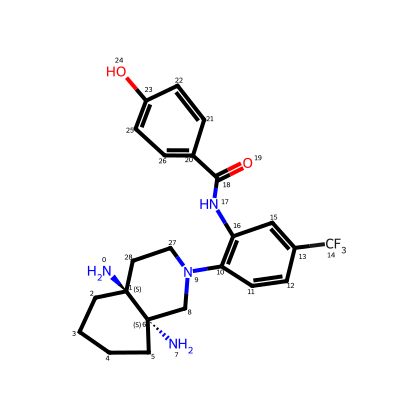 N[C@]12CCCC[C@]1(N)CN(c1ccc(C(F)(F)F)cc1NC(=O)c1ccc(O)cc1)CC2